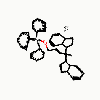 CC(CCCO[Si](c1ccccc1)(c1ccccc1)c1ccccc1)(C1CCC2C=CC=CC21)C1CCC2C=CC=CC21.[Zr]